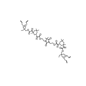 C=CCOCC(CC)(COCC=C)COC(=O)NC1(C)CC(NC(=O)OCCN2C(=O)N(CCOC(=O)NC3CC(C)(C)CC(C)(NC(=O)OCC(CC)(COCC=C)COCC=C)C3)C(C)(C)C2=O)CC(C)(C)C1